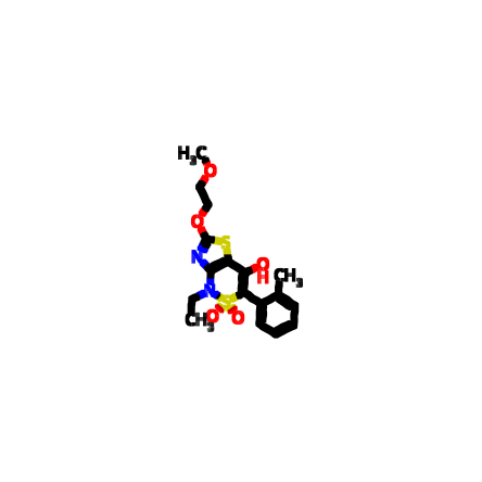 CCN1c2nc(OCCOC)sc2C(O)=C(c2ccccc2C)S1(=O)=O